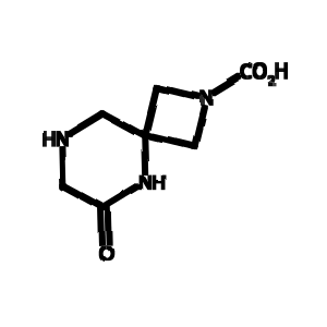 O=C1CNCC2(CN(C(=O)O)C2)N1